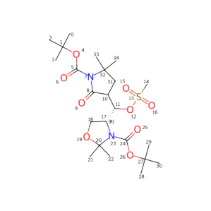 CC(C)(C)OC(=O)N1C(=O)C(C(OS(C)(=O)=O)[C@H]2COC(C)(C)N2C(=O)OC(C)(C)C)CC1(C)C